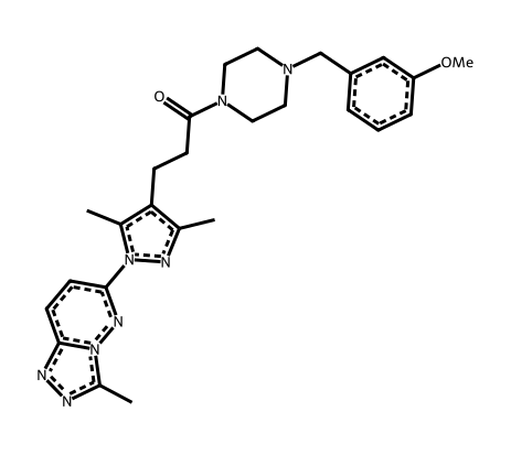 COc1cccc(CN2CCN(C(=O)CCc3c(C)nn(-c4ccc5nnc(C)n5n4)c3C)CC2)c1